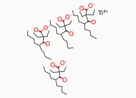 CCCCC(CCCC)C(=O)C(CC)(CC)C(=O)[O-].CCCCC(CCCC)C(=O)C(CC)(CC)C(=O)[O-].CCCCC(CCCC)C(=O)C(CC)(CC)C(=O)[O-].CCCCC(CCCC)C(=O)C(CC)(CC)C(=O)[O-].[Ti+4]